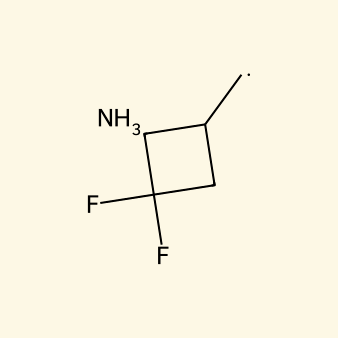 N.[CH2]C1CC(F)(F)C1